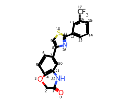 O=C1COc2ccc(-c3csc(-c4cccc(C(F)(F)F)c4)n3)cc2N1